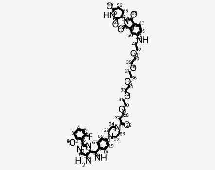 COc1cccc(F)c1-c1ncc(N)c(C(=N)c2ccc(N3CCN(C(=O)CCOCCOCCOCCOCCOCCNc4ccc5c(c4)C(=O)N(C4CCC(=O)NC4=O)C5=O)CC3)cc2)n1